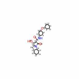 O=C(Nc1ccc(Oc2ccccc2)cc1)C1=C(O)C2Cc3ccccc3N2C1=O